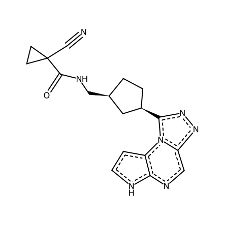 N#CC1(C(=O)NC[C@H]2CC[C@@H](c3nnc4cnc5[nH]ccc5n34)C2)CC1